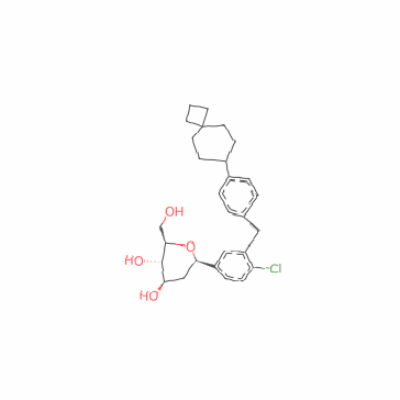 OC[C@H]1O[C@@H](c2ccc(Cl)c(Cc3ccc(C4CCC5(CCC5)CC4)cc3)c2)C[C@@H](O)[C@@H]1O